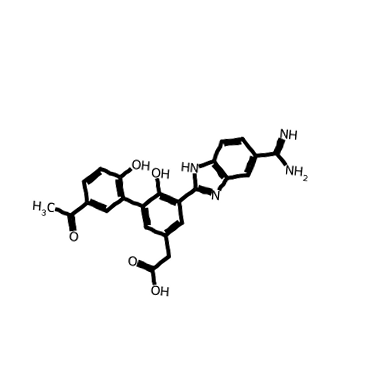 CC(=O)c1ccc(O)c(-c2cc(CC(=O)O)cc(-c3nc4cc(C(=N)N)ccc4[nH]3)c2O)c1